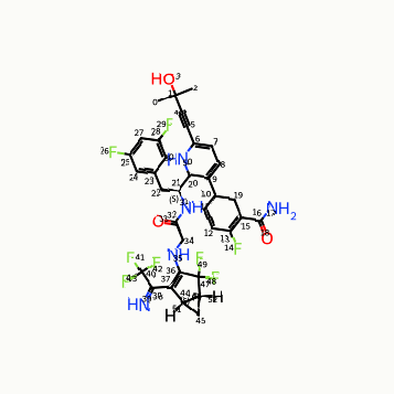 CC(C)(O)C#CC1=CC=C(C2C=CC(F)=C(C(N)=O)C2)C([C@H](Cc2cc(F)cc(F)c2)NC(=O)CNC2=C(C(=N)C(F)(F)F)[C@H]3C[C@H]3C2(F)F)N1